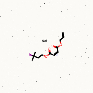 C=CCOC(=O)/C=C\C(=O)OCCC(C)(C)I.[NaH]